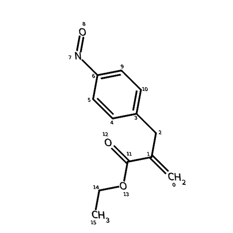 C=C(Cc1ccc(N=O)cc1)C(=O)OCC